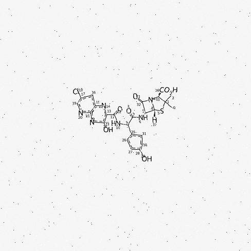 CC1(C)S[C@@H]2[C@H](NC(=O)C(NC(=O)c3nc4cc(Cl)cnc4nc3O)c3ccc(O)cc3)C(=O)N2[C@H]1C(=O)O